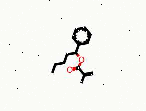 C=C(C)C(=O)OC(CCCC)c1ccccc1